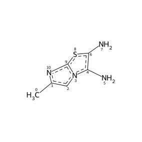 Cc1cn2c(N)c(N)sc2n1